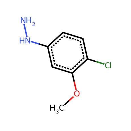 COc1cc(NN)ccc1Cl